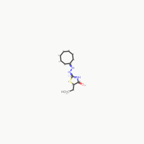 O=C(O)CC1S/C(=N/N=C2CCCCCCC2)NC1=O